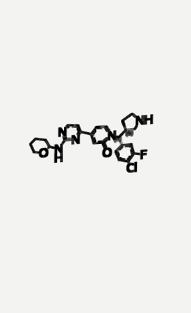 O=c1cc(-c2ccnc(NC3CCCCO3)n2)ccn1[C@@H](c1ccc(Cl)c(F)c1)[C@H]1CCNC1